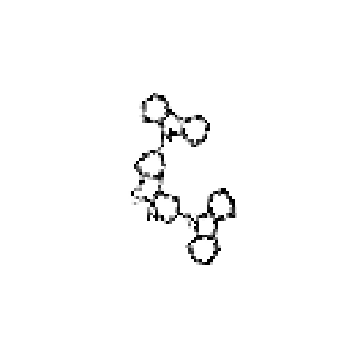 c1ccc2c(c1)c1ccccc1n2-c1ccc2sc3ncc(-n4c5ccccc5c5ccccc54)cc3c2c1